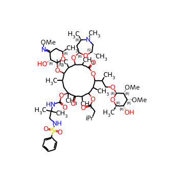 CON=C1C[C@@H](C)O[C@@H](OC2C(C)CC(C)(OC(=O)NC(C)(C)CNS(=O)(=O)c3ccccc3)C(=O)C(C)C(OC(=O)CC(C)C)C(C)C(C(C)CO[C@@H]3O[C@H](C)[C@@H](O)[C@@H](OC)[C@H]3OC)OC(=O)C(C)C(O[C@H]3C[C@@H](C)N(C)C[C@H](C)O3)C2C)[C@@H]1O